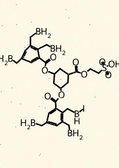 BCc1cc(CB)c(CB)c(C(=O)OC2CC(OC(=O)c3cc(CB)cc(CB)c3CBI)CC(C(=O)OCCS(=O)(=O)O)C2)c1